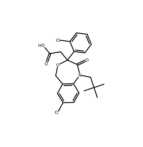 CC(C)(C)CN1C(=O)C(CC(=O)O)(c2ccccc2Cl)OCc2cc(Cl)ccc21